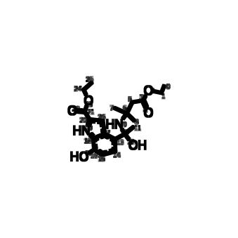 CCOC(=O)CC(C)(C)NC(C)(O)c1ccc(O)c2[nH]c(C(=O)OCC)cc12